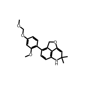 COCOc1ccc(-c2ccc3c4c2COC4=CC(C)(C)N3)c(OC)c1